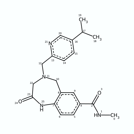 CNC(=O)c1ccc2c(c1)CN(Cc1ccc(C(C)C)cn1)CC(=O)N2